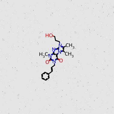 Cc1c(C)n2c3c(=O)n(C/C=C/c4ccccc4)c(=O)n(C)c3nc2n1CCCO